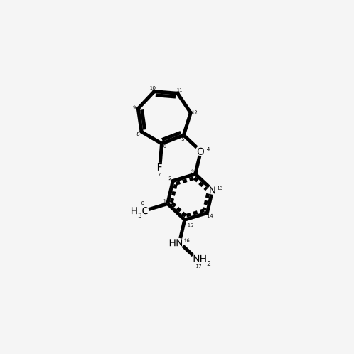 Cc1cc(OC2=C(F)C=CC=CC2)ncc1NN